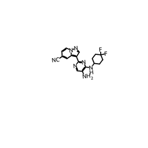 N#Cc1ccn2ncc(-c3ncc(N)c(NC4CCC(F)(F)CC4)n3)c2c1